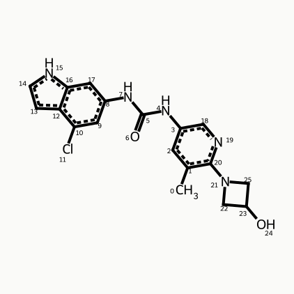 Cc1cc(NC(=O)Nc2cc(Cl)c3cc[nH]c3c2)cnc1N1CC(O)C1